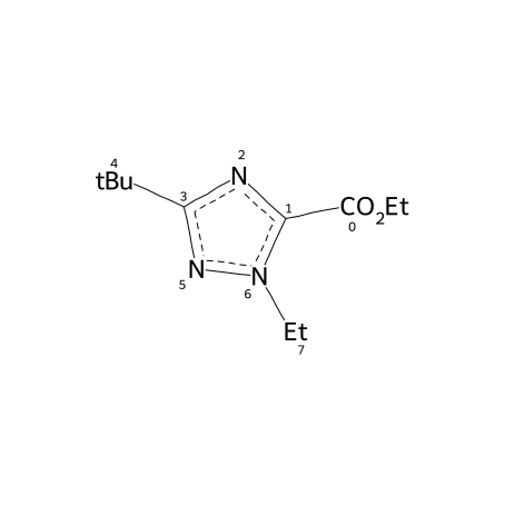 CCOC(=O)c1nc(C(C)(C)C)nn1CC